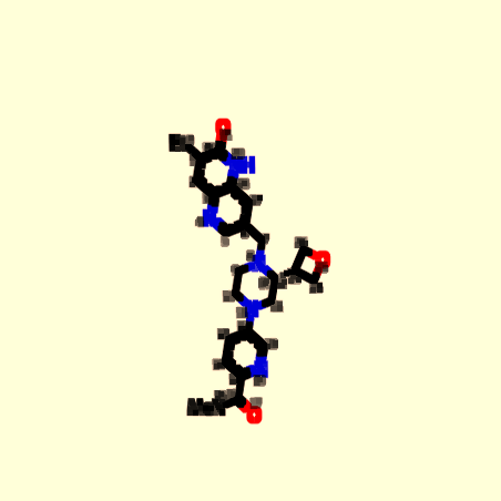 CCc1cc2ncc(CN3CCN(c4ccc(C(=O)NC)nc4)C[C@H]3C3COC3)cc2[nH]c1=O